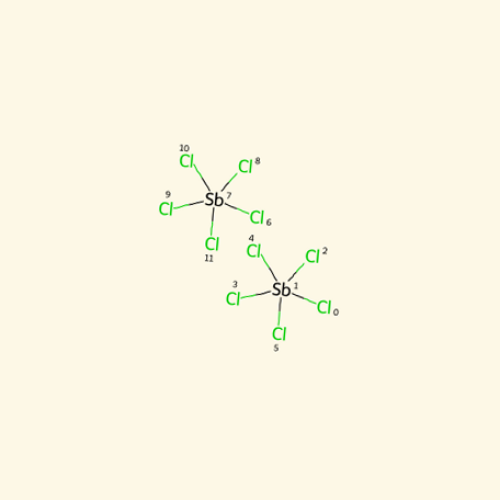 [Cl][Sb]([Cl])([Cl])([Cl])[Cl].[Cl][Sb]([Cl])([Cl])([Cl])[Cl]